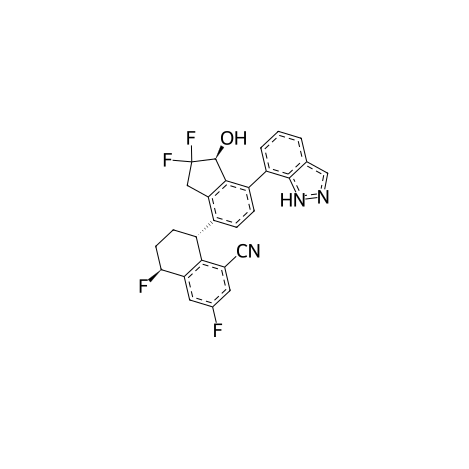 N#Cc1cc(F)cc2c1[C@@H](c1ccc(-c3cccc4cn[nH]c34)c3c1CC(F)(F)[C@H]3O)CC[C@@H]2F